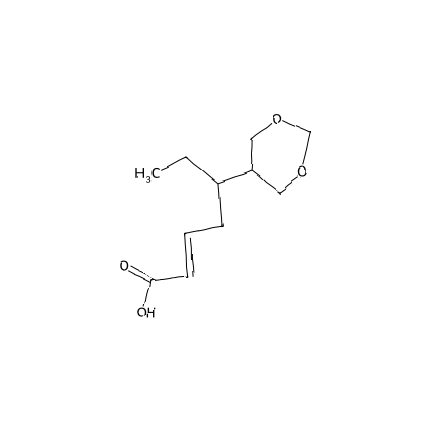 CCC(CC=CC(=O)O)C1COCOC1